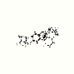 [2H]C([2H])C([2H])([2H])Oc1ccc2c(c1)[C@]13CCCC[C@@H]1[C@H](C2)N(C([2H])([2H])[2H])CC3